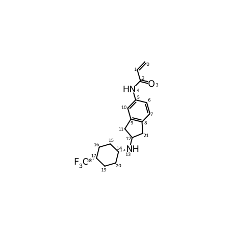 C=CC(=O)Nc1ccc2c(c1)CC(N[C@H]1CC[C@@H](C(F)(F)F)CC1)C2